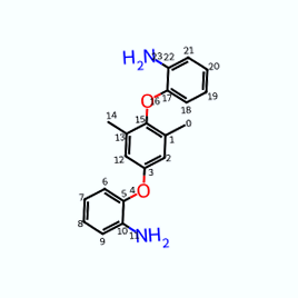 Cc1cc(Oc2ccccc2N)cc(C)c1Oc1ccccc1N